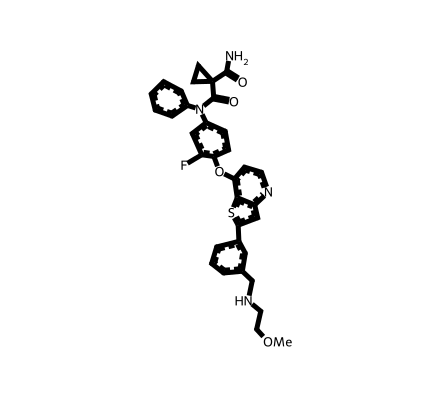 COCCNCc1cccc(-c2cc3nccc(Oc4ccc(N(C(=O)C5(C(N)=O)CC5)c5ccccc5)cc4F)c3s2)c1